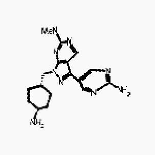 CNc1ncc2c(-c3cnc(N)nc3)nn(C[C@H]3CC[C@H](N)CC3)c2n1